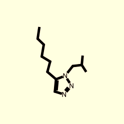 CCCCCCc1cnnn1CC(C)C